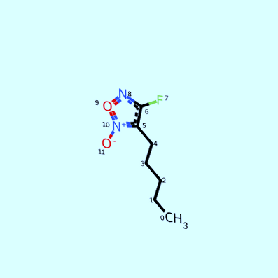 CCCCCc1c(F)no[n+]1[O-]